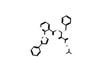 CC(C)ONC(=O)C(=O)[C@H](Cc1ccccc1)NC(=O)c1cccnc1-n1ccc(-c2ccccc2)n1